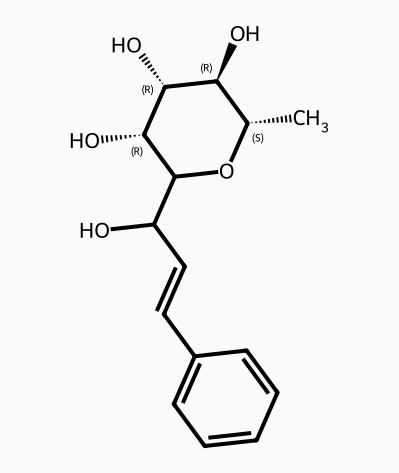 C[C@@H]1OC(C(O)C=Cc2ccccc2)[C@H](O)[C@H](O)[C@H]1O